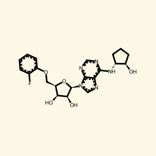 O[C@@H]1[C@H](O)[C@H](n2cnc3c(N[C@@H]4CCC[C@H]4O)ncnc32)O[C@@H]1COc1ccccc1F